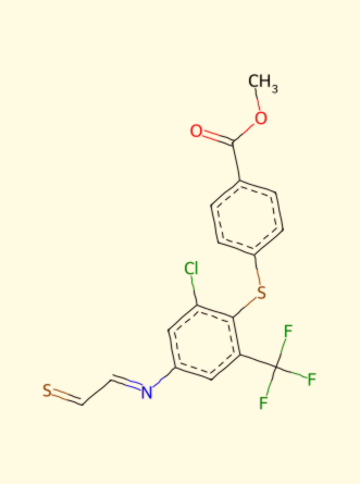 COC(=O)c1ccc(Sc2c(Cl)cc(N=CC=S)cc2C(F)(F)F)cc1